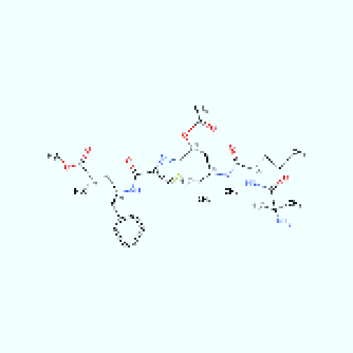 CCC[C@H](NC(=O)C(C)(C)N)C(=O)N(C)[C@H](C[C@@H](OC(C)=O)c1nc(C(=O)N[C@@H](Cc2ccccc2)C[C@H](C)C(=O)OC)cs1)C(C)C